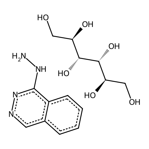 NNc1nncc2ccccc12.OC[C@@H](O)[C@@H](O)[C@H](O)[C@H](O)CO